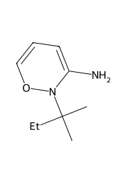 CCC(C)(C)N1OC=CC=C1N